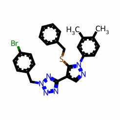 Cc1ccc(-n2ncc(-c3nnn(Cc4ccc(Br)cc4)n3)c2SCc2ccccc2)cc1C